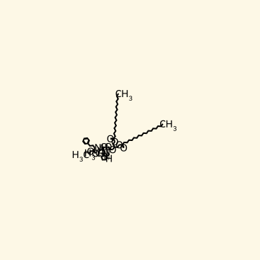 CCCCCCCCCCCCCCCCCC(=O)OCC(COC(=O)CCCCCCCCCCCCCCCCC)OC(=O)[C@@H]1C[C@@H]2CCC[C@@H]2N1C(=O)C(C)NC(CCc1ccccc1)C(=O)OCC